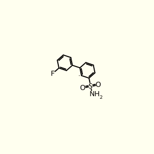 NS(=O)(=O)c1[c]c(-c2cccc(F)c2)ccc1